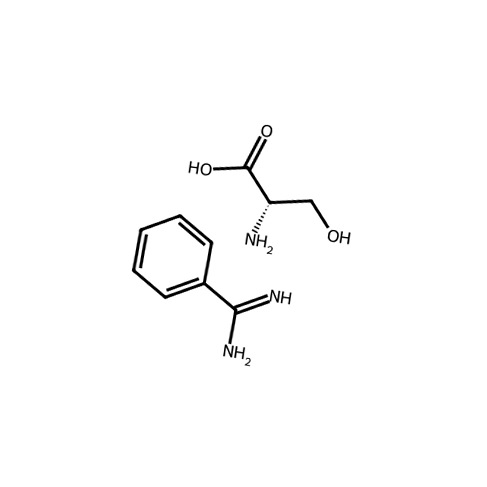 N=C(N)c1ccccc1.N[C@@H](CO)C(=O)O